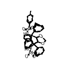 Cc1ccc(S(=O)(=O)NC(c2ccccc2)(c2ccccc2)C2OCOC2C(N[PH](=O)O)(c2ccccc2)c2ccccc2)cc1